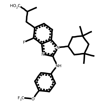 CC(Cc1ccc2c(nc(Nc3ccc(OC(F)(F)F)cc3)n2C2CC(C)(C)CC(C)(C)C2)c1F)C(=O)O